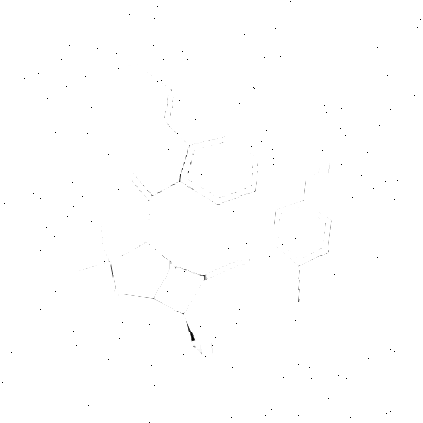 CC1(C)S[C@@H]2[C@H](N)C(=O)N2[C@H]1C(=O)c1ccccc1C=NO.Cc1ccc(S(=O)(=O)O)cc1